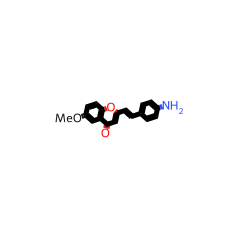 COc1ccc2oc(C=Cc3ccc(N)cc3)cc(=O)c2c1